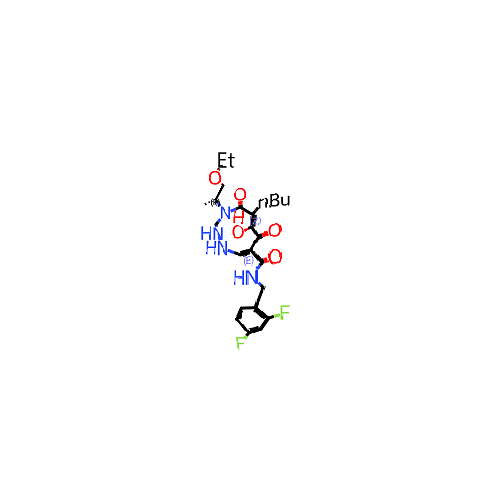 CCCC/C1=C(/O)C(=O)/C(C(=O)NCc2ccc(F)cc2F)=C\NNCN([C@H](C)COCC)C1=O